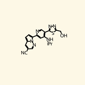 CC(C)Nc1cc(-c2ccc3cc(C#N)cnn23)ncc1-c1nnc(CO)s1